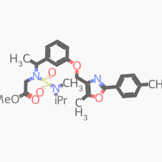 COC(=O)CN(C(C)c1cccc(OCc2nc(-c3ccc(C)cc3)oc2C)c1)S(=O)(=O)N(C)C(C)C